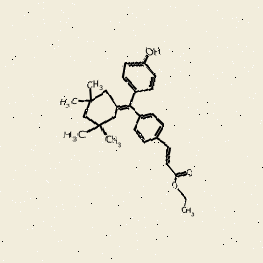 CCOC(=O)/C=C/c1ccc(C(=C2CC(C)(C)CC(C)(C)C2)c2ccc(O)cc2)cc1